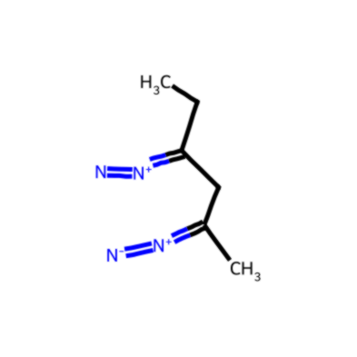 CCC(CC(C)=[N+]=[N-])=[N+]=[N-]